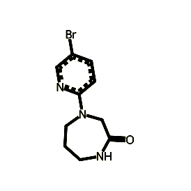 O=C1CN(c2ccc(Br)cn2)CCCN1